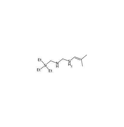 CC[Si](CC)(CC)CNC[SiH2]C=C(C)C